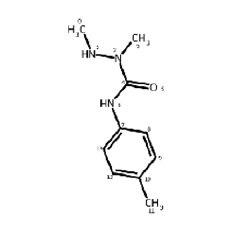 CNN(C)C(=O)Nc1ccc(C)cc1